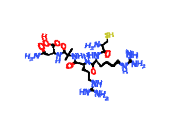 CC(C)(NC(=O)[C@H](CCCNC(=N)N)NC(=O)[C@H](CCCCNC(=N)N)NC(=O)[C@@H](N)CS)C(=O)N[C@@H](CC(N)=O)C(=O)O